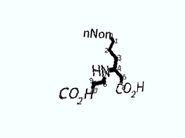 CCCCCCCCCCCCC(CC(=O)O)NCCC(=O)O